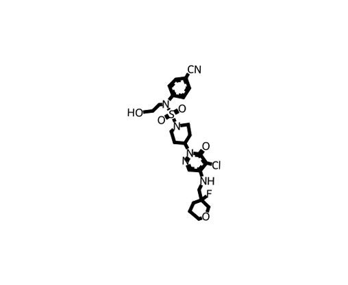 N#Cc1ccc(N(CCO)S(=O)(=O)N2CCC(n3ncc(NCC4(F)CCCOC4)c(Cl)c3=O)CC2)cc1